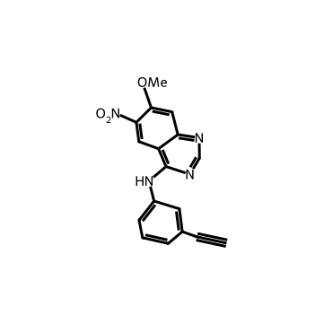 C#Cc1cccc(Nc2ncnc3cc(OC)c([N+](=O)[O-])cc23)c1